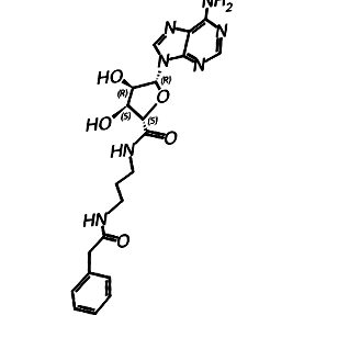 Nc1ncnc2c1ncn2[C@@H]1O[C@H](C(=O)NCCCNC(=O)Cc2ccccc2)[C@@H](O)[C@H]1O